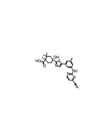 Cc1cc(Nc2nccc(C#N)n2)cc(-c2cnc([C@@]3(O)CC[C@](C)(C(=O)O)C(C)(C)C3)s2)c1